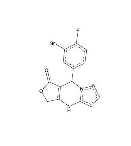 O=C1OCC2=C1C(c1ccc(F)c(Br)c1)n1nccc1N2